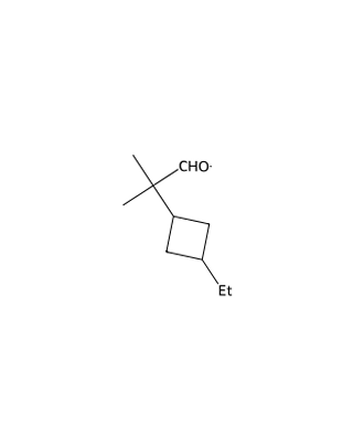 CCC1CC(C(C)(C)[C]=O)C1